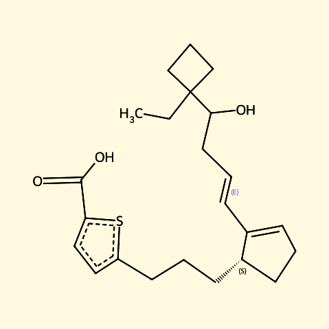 CCC1(C(O)C/C=C/C2=CCC[C@@H]2CCCc2ccc(C(=O)O)s2)CCC1